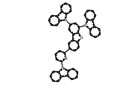 c1cc(-c2ccc3oc4c(-n5c6ccccc6c6ccccc65)cc(-n5c6ccccc6c6ccccc65)cc4c3c2)nc(-n2c3ccccc3c3ccccc32)c1